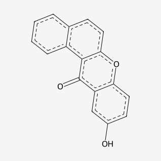 O=c1c2cc(O)ccc2oc2ccc3ccccc3c12